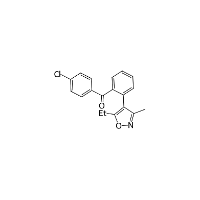 CCc1onc(C)c1-c1ccccc1C(=O)c1ccc(Cl)cc1